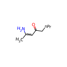 CCCCC(=O)/C=C(/C)N